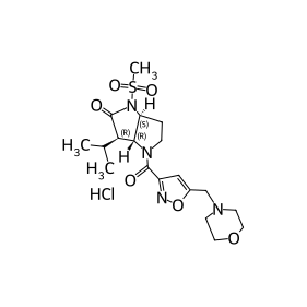 CC(C)[C@H]1C(=O)N(S(C)(=O)=O)[C@H]2CCN(C(=O)c3cc(CN4CCOCC4)on3)[C@H]12.Cl